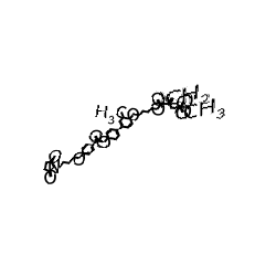 C=C(CC(=O)OC)C(=O)OCCCCOc1ccc(-c2ccc(OC(=O)c3ccc(OCCCCN4C(=O)C=CC4=O)cc3)cc2)cc1C